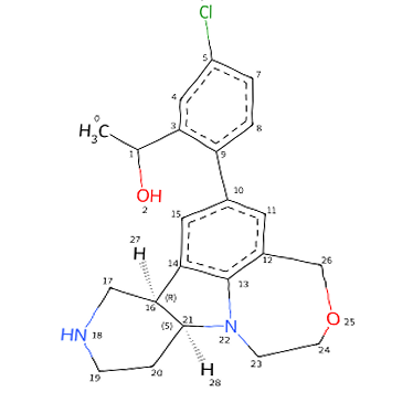 CC(O)c1cc(Cl)ccc1-c1cc2c3c(c1)[C@@H]1CNCC[C@@H]1N3CCOC2